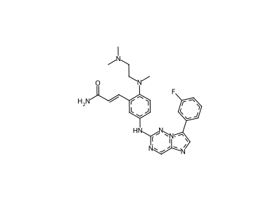 CN(C)CCN(C)c1ccc(Nc2ncc3ncc(-c4cccc(F)c4)n3n2)cc1C=CC(N)=O